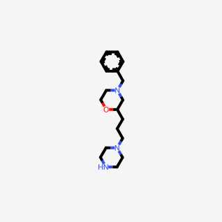 c1ccc(CN2CCOC(CCCN3CCNCC3)C2)cc1